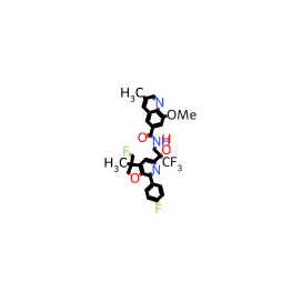 COc1cc(C(=O)NCC(O)(c2cc3c(c(-c4ccc(F)cc4)n2)OCC3(C)CF)C(F)(F)F)cc2cc(C)cnc12